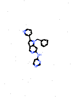 c1ccc(Cn2c(-c3cccnc3)cc3cnc(Nc4ccncn4)cc32)cc1